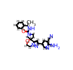 C[C@@H](NC(=O)N1CCC2(C1)OCCn1nc(-c3cnc(N)c(C#N)c3)cc12)c1ccccc1